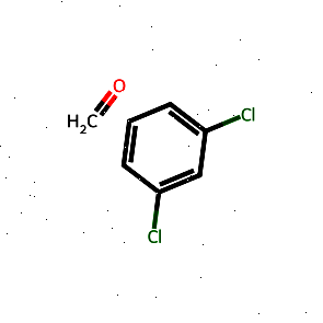 C=O.Clc1cccc(Cl)c1